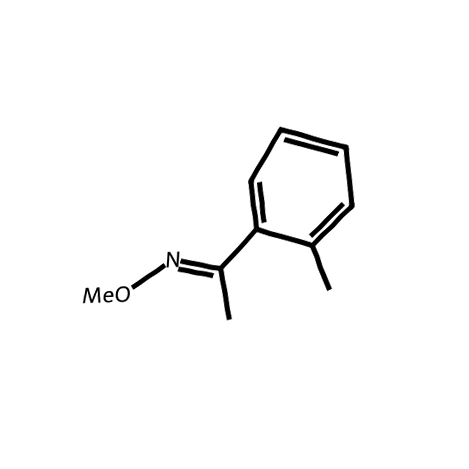 CO/N=C(\C)c1ccccc1C